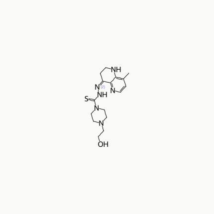 Cc1ccnc2c1NCC/C2=N/NC(=S)N1CCN(CCO)CC1